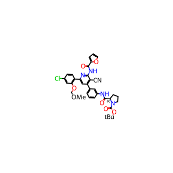 COCOc1cc(Cl)ccc1-c1cc(-c2cccc(NC(=O)[C@H]3CCCN3C(=O)OC(C)(C)C)c2)c(C#N)c(NC(=O)c2ccco2)n1